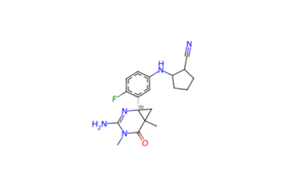 CN1C(=O)C2(C)C[C@]2(c2cc(NC3CCCC3C#N)ccc2F)N=C1N